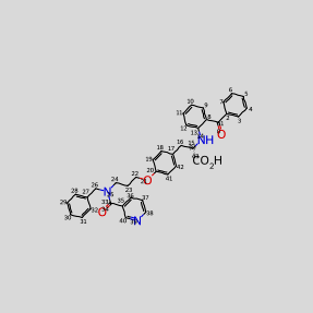 O=C(c1ccccc1)c1ccccc1N[C@@H](Cc1ccc(OCCCN(Cc2ccccc2)C(=O)c2cccnc2)cc1)C(=O)O